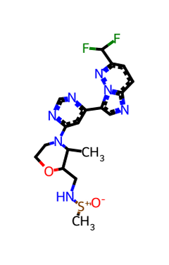 CC1C(CN[S+](C)[O-])OCCN1c1cc(-c2cnc3ccc(C(F)F)nn23)ncn1